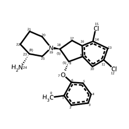 Cc1ccccc1O[C@H]1c2cc(Cl)cc(Cl)c2C[C@@H]1N1CCC[C@@H](N)C1